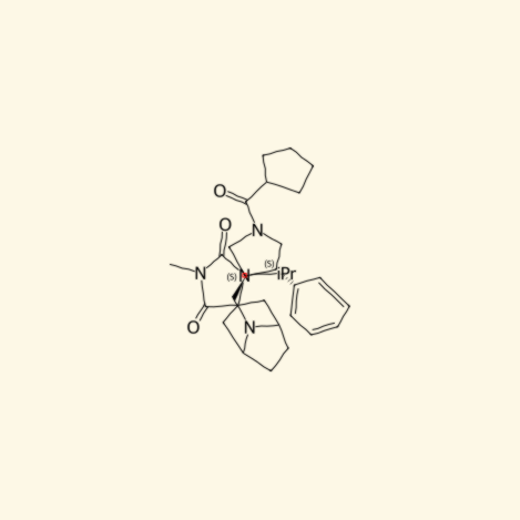 CC(C)N1C(=O)N(C)C(=O)C12CC1CCC(C2)N1C[C@H]1CN(C(=O)C2CCCC2)C[C@@H]1c1ccccc1